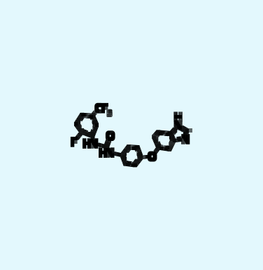 O=C(Nc1ccc(Oc2ccc3[nH][c]nc3c2)cc1)Nc1cc(C(F)(F)F)ccc1F